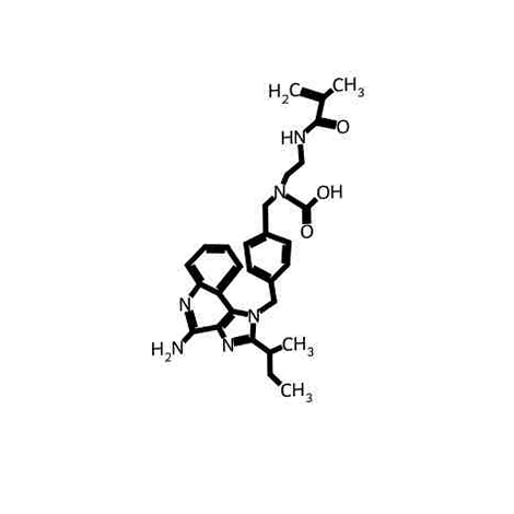 C=C(C)C(=O)NCCN(Cc1ccc(Cn2c(C(C)CC)nc3c(N)nc4ccccc4c32)cc1)C(=O)O